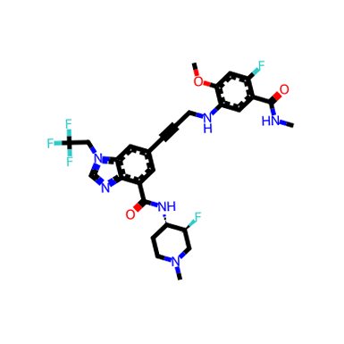 CNC(=O)c1cc(NCC#Cc2cc(C(=O)N[C@H]3CCN(C)C[C@@H]3F)c3ncn(CC(F)(F)F)c3c2)c(OC)cc1F